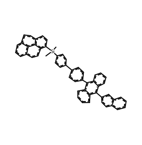 C[Si](C)(c1ccc(-c2ccc(-c3c4ccccc4c(-c4ccc5ccccc5c4)c4ccccc34)cc2)cc1)c1ccc2ccc3cccc4ccc1c2c34